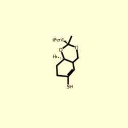 CCCC(C)[C@@]1(C)OCC2C=C(S)CC[C@H]2O1